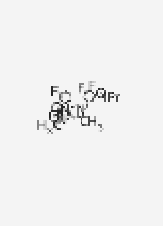 CC(C)Oc1cc(CN2CC[C@@]3(C[C@@H]2C)CN(C)S(=O)(=O)N3c2cccc(F)c2)cc(F)c1F